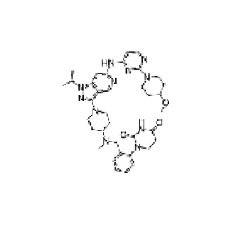 COC1CCN(c2nccc(Nc3cc4c(cn3)c(N3CCC(N(C)Cc5ccccc5N5CCC(=O)NC5=O)CC3)nn4C(C)C)n2)CC1